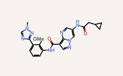 COc1c(NC(=O)c2cnn3cc(NC(=O)CC4CC4)cnc23)cccc1-c1ncn(C)n1